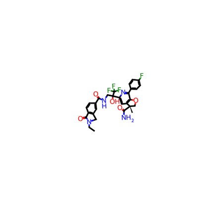 CCN1Cc2cc(C(=O)NCC(O)(c3cc4c(c(-c5ccc(F)cc5)n3)OC[C@]4(C)C(N)=O)C(F)(F)F)ccc2C1=O